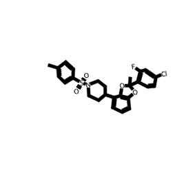 Cc1ccc(S(=O)(=O)N2CCC(c3cccc4c3OC(C)(c3ccc(Cl)cc3F)O4)CC2)cc1